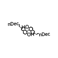 CCCCCCCCCC/C=C/c1ccc2c(-c3c(O)ccc4cc(/C=C/CCCCCCCCCC)ccc34)c(O)ccc2c1